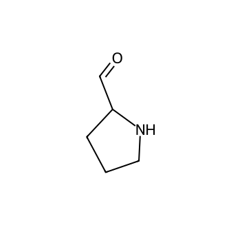 O=CC1CCCN1